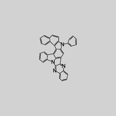 c1ccc(-n2c3ccc4ccccc4c3c3c4c5ccccc5n5c6nc7ccccc7nc6c(cc32)c45)cc1